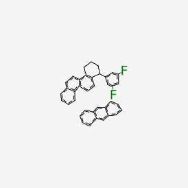 Fc1cc(F)cc(C2CCCc3c2ccc2c3ccc3ccccc32)c1.c1ccc2cc3ccccc3cc2c1